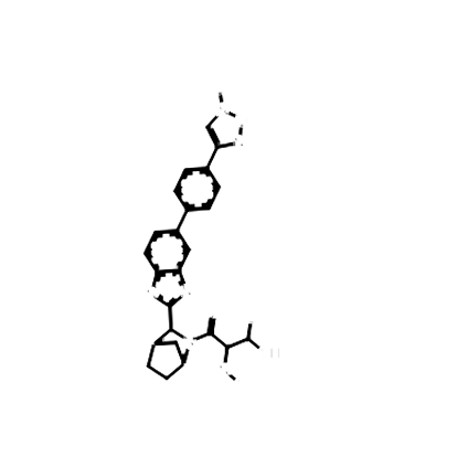 CNC(C(=O)N1C2CCC(C2)C1c1nc2cc(-c3ccc(C4=CN(C)ON4)cc3)ccc2[nH]1)C(C)C